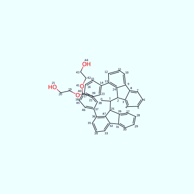 CC(C1c2ccccc2-c2cccc(-c3ccc(OCCO)cc3)c21)C1c2ccccc2-c2cccc(-c3ccc(OCCO)cc3)c21